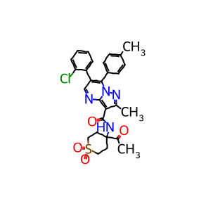 CC(=O)C1(NC(=O)c2c(C)nn3c(-c4ccc(C)cc4)c(-c4ccccc4Cl)cnc23)CCS(=O)(=O)CC1